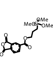 CO[Si](CCCOC(=O)c1ccc2c(c1)C(=O)OC2=O)(OC)OC